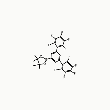 CC1(C)OB(c2cc(-c3c(F)c(F)c(F)c(F)c3F)cc(-c3c(F)c(F)c(F)c(F)c3F)c2)OC1(C)C